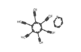 C#Cc1c(C#C)c(C#C)c(C#C)c(C#C)c1C#C.c1ccncc1